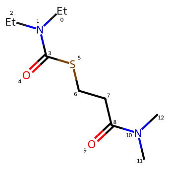 CCN(CC)C(=O)SCCC(=O)N(C)C